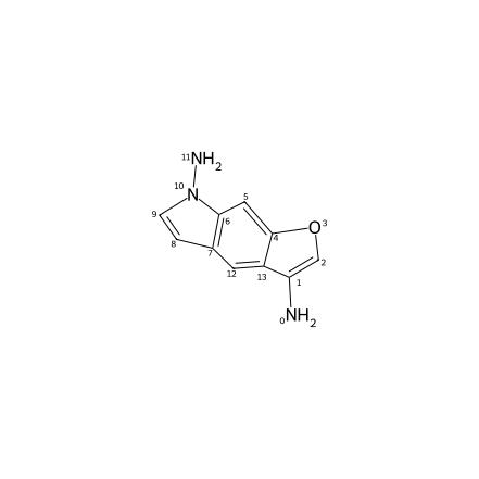 Nc1coc2cc3c(ccn3N)cc12